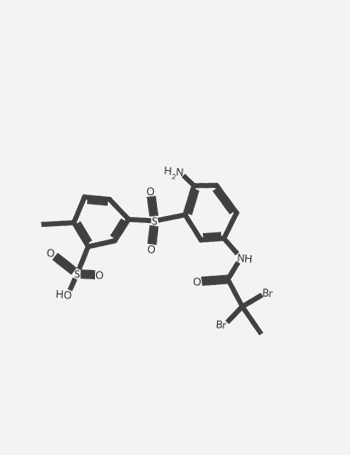 Cc1ccc(S(=O)(=O)c2cc(NC(=O)C(C)(Br)Br)ccc2N)cc1S(=O)(=O)O